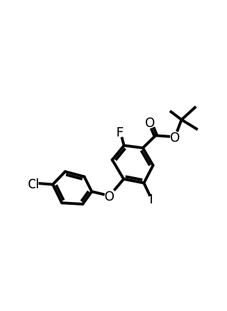 CC(C)(C)OC(=O)c1cc(I)c(Oc2ccc(Cl)cc2)cc1F